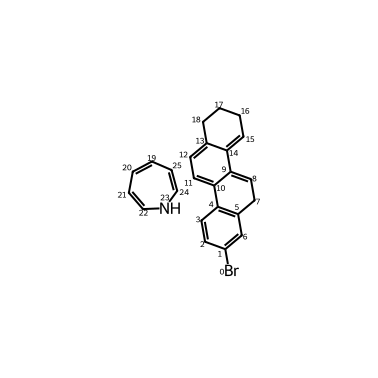 Brc1ccc2c(c1)CC=c1c-2ccc2c1=CCCC2.C1=CC=CNC=C1